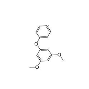 COc1cc(OC)cc(Oc2cc[c]cc2)c1